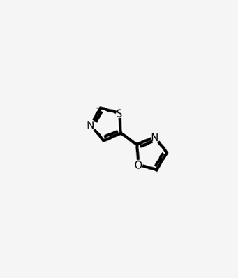 [c]1ncc(-c2ncco2)s1